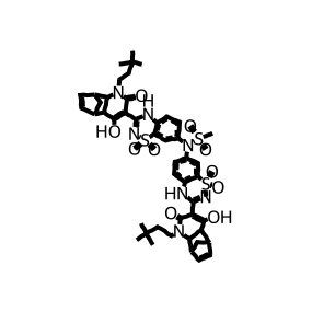 CC(C)(C)CCN1C(=O)C(C2=NS(=O)(=O)c3cc(N(c4ccc5c(c4)S(=O)(=O)N=C(C4=C(O)C6C7C=CC(C7)C6N(CCC(C)(C)C)C4=O)N5)S(C)(=O)=O)ccc3N2)=C(O)C2C3C=CC(C3)C21